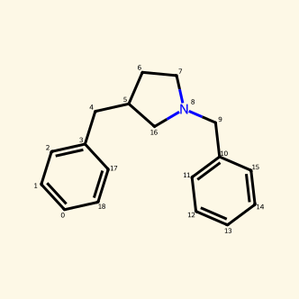 c1ccc(CC2CCN(Cc3ccccc3)C2)cc1